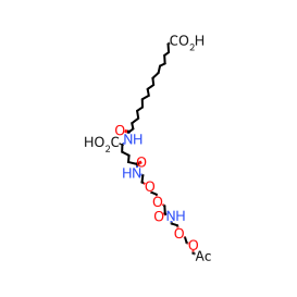 CC(=O)COCCOCCNC(=O)COCCOCCNC(=O)CCC[C@H](NC(=O)CCCCCCCCCCCCCCCCC(=O)O)C(=O)O